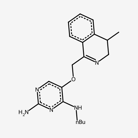 CCCCNc1nc(N)ncc1OCC1=NCC(C)c2ccccc21